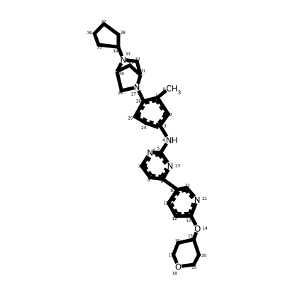 Cc1cc(Nc2nccc(-c3ccc(OC4CCOCC4)nc3)n2)ccc1N1CC2CC1CN2C1CCCC1